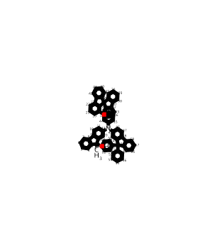 CC1(C)c2ccccc2-c2ccc(N(c3cccc(-c4cccc5c4C4(c6ccccc6-c6ccccc64)c4ccccc4-5)c3)c3ccc4c(c3)C(c3ccccc3)(c3ccccc3)c3ccccc3-4)cc21